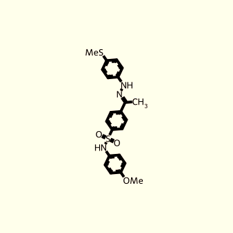 COc1ccc(NS(=O)(=O)c2ccc(C(C)=NNc3ccc(SC)cc3)cc2)cc1